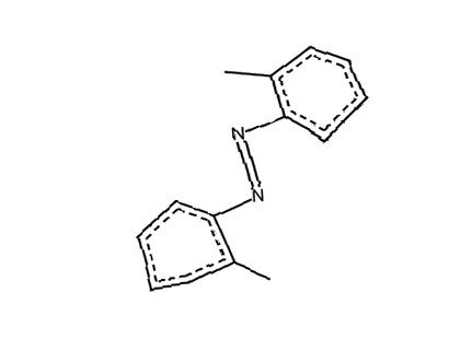 Cc1ccccc1N=Nc1ccccc1C